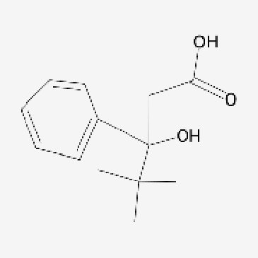 CC(C)(C)C(O)(CC(=O)O)c1ccccc1